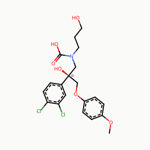 COc1ccc(OC[C@@](O)(CN(CCCO)C(=O)O)c2ccc(Cl)c(Cl)c2)cc1